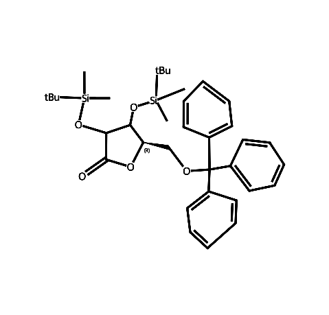 CC(C)(C)[Si](C)(C)OC1C(=O)O[C@H](COC(c2ccccc2)(c2ccccc2)c2ccccc2)C1O[Si](C)(C)C(C)(C)C